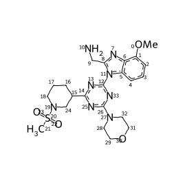 COc1cccc2c1nc(CN)n2-c1nc(C2CCCN(S(C)(=O)=O)C2)nc(N2CCOCC2)n1